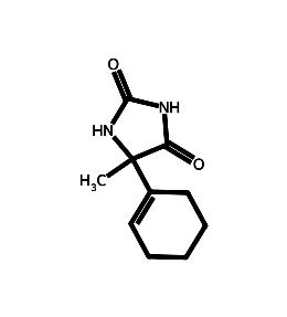 CC1(C2=CCCCC2)NC(=O)NC1=O